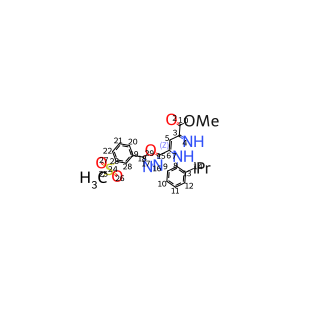 COC(=O)C(=N)/C=C(\Nc1ccccc1C(C)C)c1nnc(-c2cccc(S(C)(=O)=O)c2)o1